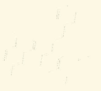 CCCOc1c(OC)cc(C)c(C(=O)c2c(OC)ccc(Br)c2C)c1OCc1ccccc1